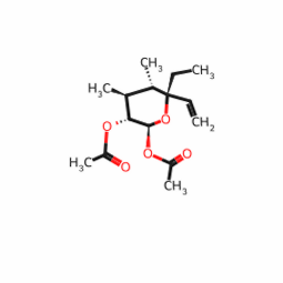 C=C[C@]1(CC)O[C@@H](OC(C)=O)[C@H](OC(C)=O)[C@@H](C)[C@@H]1C